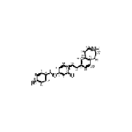 O=c1cc(OCc2ccc(F)cc2)ccn1CCc1ccc2c(c1)CCNCC2